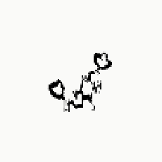 O=c1[nH]c(CSC2CCOCC2)nc2nc(NC3CCCC3)ccc12